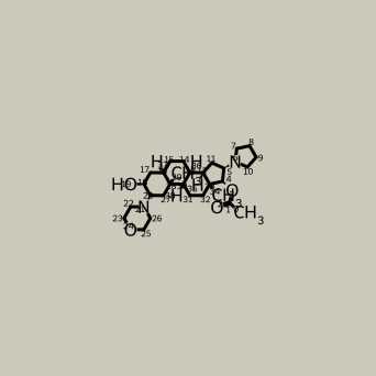 CC(=O)O[C@H]1[C@@H](N2CCCC2)C[C@H]2[C@@H]3CC[C@H]4C[C@H](O)[C@@H](N5CCOCC5)CC4(C)[C@H]3CCC21C